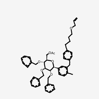 C=CCOCCCCc1ccc(Cc2cc([C@@H]3O[C@H](COC(C)=O)[C@@H](OCc4ccccc4)[C@H](OCc4ccccc4)[C@H]3OCc3ccccc3)ccc2C)cc1